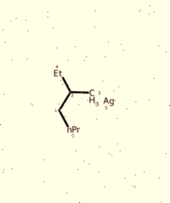 CCCCC(C)CC.[Ag]